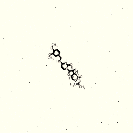 COc1ccc(CNc2ccn(C3O[C@@H]4COP(=O)(OC(C)C)O[C@H]4C3(F)F)c(=O)n2)cc1OC